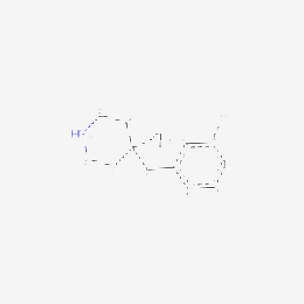 CC1(Cc2cccc(Cl)c2)CCNCC1